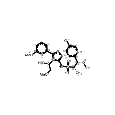 COC[C@@H](C)n1c(NS(=O)(=O)[C@@H](C)[C@@H](OC(C)C)c2ncc(Cl)cn2)nnc1-c1cccc(OC)n1